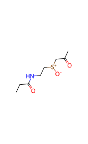 CCC(=O)NCC[S+]([O-])CC(C)=O